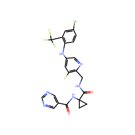 O=C(NC1(C(=O)NCc2ncc(Nc3ccc(Cl)cc3C(F)(F)F)cc2F)CC1)c1cncnc1